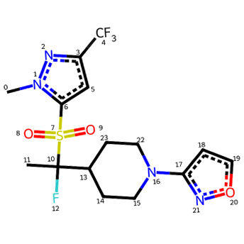 Cn1nc(C(F)(F)F)cc1S(=O)(=O)C(C)(F)C1CCN(c2ccon2)CC1